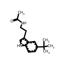 CC(=O)NCCc1c[nH]c2ccc(C(C)(C)C)cc12